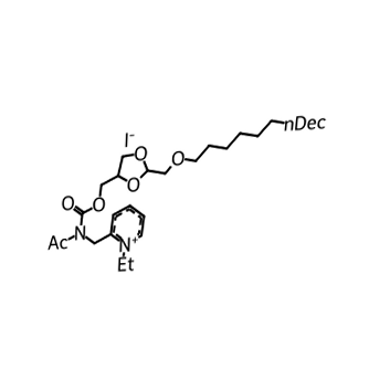 CCCCCCCCCCCCCCCCOCC1OCC(COC(=O)N(Cc2cccc[n+]2CC)C(C)=O)O1.[I-]